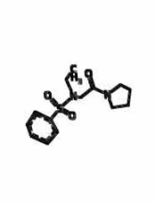 CCN(CC(=O)N1CCCC1)S(=O)(=O)c1ccccc1